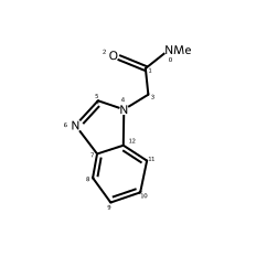 CNC(=O)Cn1[c]nc2ccccc21